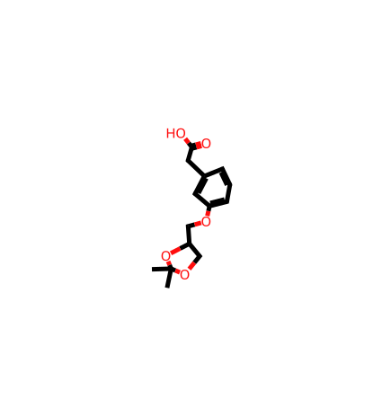 CC1(C)OCC(COc2cccc(CC(=O)O)c2)O1